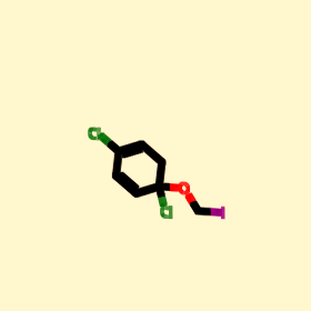 ClC1=CCC(Cl)(OCI)C=C1